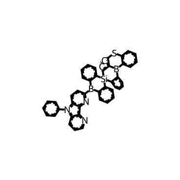 c1ccc(-n2c3cccnc3c3nc(B4c5ccccc5[Si]5(c6ccccc64)c4ccccc4B4c6ccccc6Sc6cccc5c64)ccc32)cc1